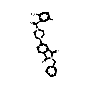 O=C(c1cc(F)ccc1C(F)(F)F)N1CCN(c2ccc3c(c2)C(=O)N(Cc2ccccc2)C3=O)CC1